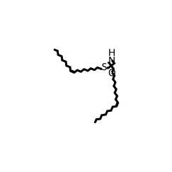 CCCCCCCC/C=C\CCCCCCCCOCC1(CSCCCCCCCC/C=C\CCCCCCCC)CNC1